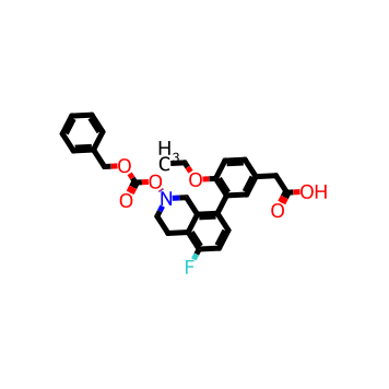 CCOc1ccc(CC(=O)O)cc1-c1ccc(F)c2c1CN(OC(=O)OCc1ccccc1)CC2